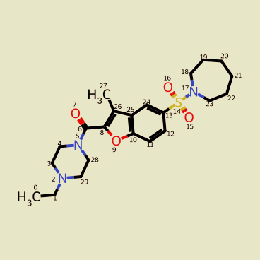 CCN1CCN(C(=O)c2oc3ccc(S(=O)(=O)N4CCCCCC4)cc3c2C)CC1